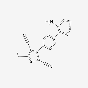 CCc1sc(C#N)c(-c2ccc(-c3ncccc3N)cc2)c1C#N